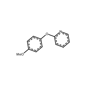 COc1ccc(Oc2c[c]ccn2)cc1